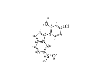 COc1cc(Cl)ccc1-c1ccc2cnc([S+](C)[O-])nn12